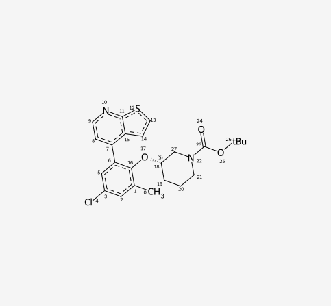 Cc1cc(Cl)cc(-c2ccnc3sccc23)c1O[C@H]1CCCN(C(=O)OC(C)(C)C)C1